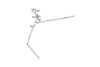 CCCCCCCCCC/C=C\CCCCCCCCCC(=O)OC[C@H](COP(=O)(O)OC[C@@H](O)CO)OC(=O)CCCCCCCCCCCCCCCCCCCC